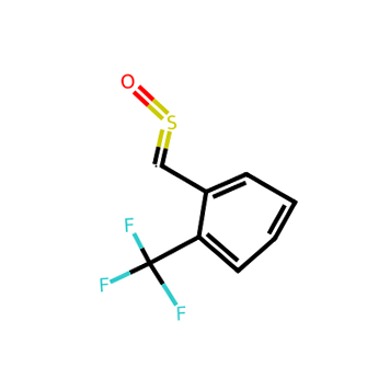 O=S=[C]c1ccccc1C(F)(F)F